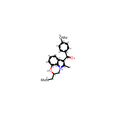 CNCC1Cn2c(C)c(C(=O)c3ccc(OC)cc3)c3cccc(c32)O1